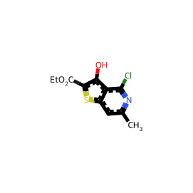 CCOC(=O)c1sc2cc(C)nc(Cl)c2c1O